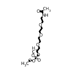 COOP(=O)(OC)OCCOCCOCCOCCNC(C)=O